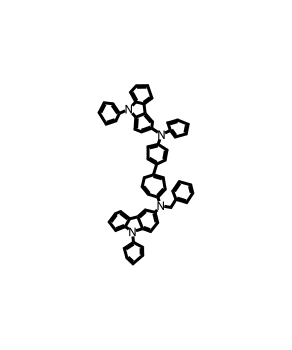 C1=CC(N(Cc2ccccc2)c2ccc3c(c2)c2ccccc2n3-c2ccccc2)=CC=C(c2ccc(N(c3ccccc3)c3ccc4c(c3)c3ccccc3n4-c3ccccc3)cc2)C1